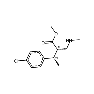 CNC[C@@H](C(=O)OC)[C@@H](C)c1ccc(Cl)cc1